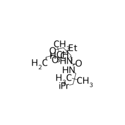 C=CC(=O)OC(C)(C)CC(C)(CC)CNC(=O)NCC(C)(C)CC(C)C